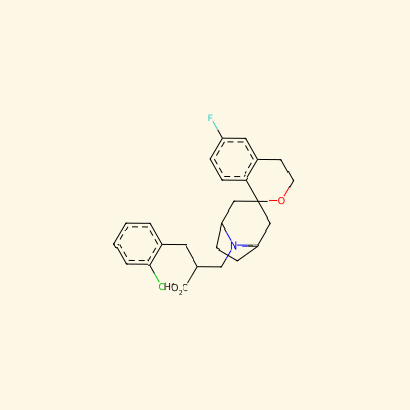 O=C(O)C(Cc1ccccc1Cl)CN1C2CCC1CC1(C2)OCCc2cc(F)ccc21